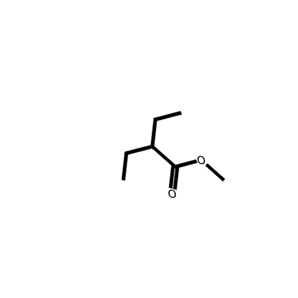 CC[C](CC)C(=O)OC